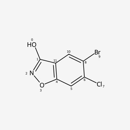 Oc1noc2cc(Cl)c(Br)cc12